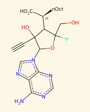 C#CC1(O)C(n2cnc3c(N)ncnc32)OC(F)(CO)C1[C@H](CCCCCCCC)C(=O)O